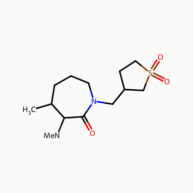 CNC1C(=O)N(CC2CCS(=O)(=O)C2)CCCC1C